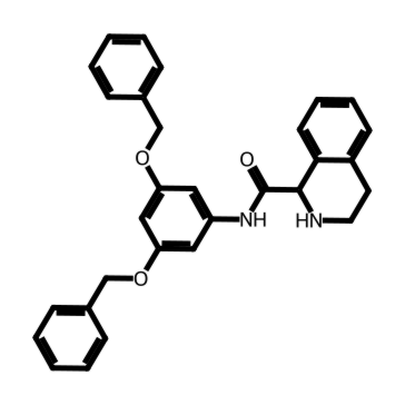 O=C(Nc1cc(OCc2ccccc2)cc(OCc2ccccc2)c1)C1NCCc2ccccc21